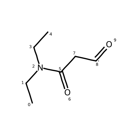 CCN(CC)C(=O)C[C]=O